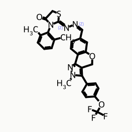 Cc1cccc(C)c1N1C(=O)CS/C1=N\N=C/c1ccc2c(c1)OCc1c-2nn(C)c1-c1ccc(OC(F)(F)F)cc1